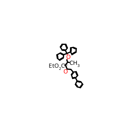 CCOC(=O)[C@@H](C(=O)Cc1ccc(-c2ccccc2)cc1)C(C)COC(c1ccccc1)(c1ccccc1)c1ccccc1